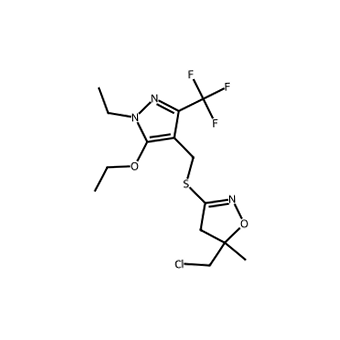 CCOc1c(CSC2=NOC(C)(CCl)C2)c(C(F)(F)F)nn1CC